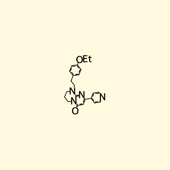 CCOc1ccc(CCN2CCCn3c2nc(-c2ccncc2)cc3=O)cc1